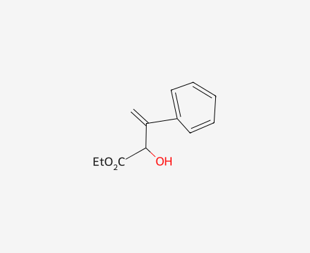 C=C(c1ccccc1)C(O)C(=O)OCC